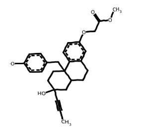 CC#CC1(O)CCC2(Cc3ccc([O])cc3)c3ccc(OCC(=O)OC)cc3CCC2C1